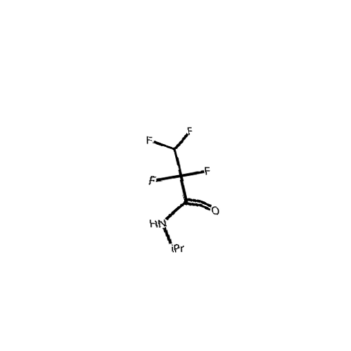 CC(C)NC(=O)C(F)(F)C(F)F